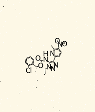 CCn1nnc(-c2ccc([N+](=O)[O-])c(C)n2)c1NC(=O)O[C@H](C)c1ccccc1Cl